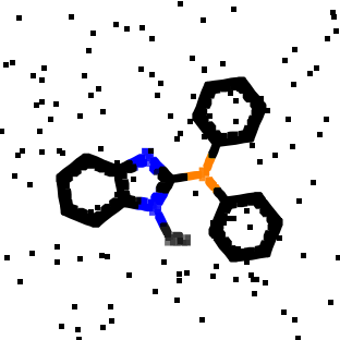 CCCCn1c(P(c2ccccc2)c2ccccc2)nc2ccccc21